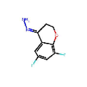 N/N=C1\CCOc2c(F)cc(F)cc21